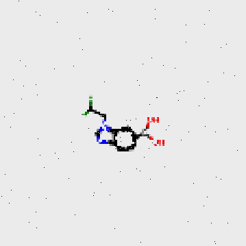 OB(O)c1ccc2ncn(CC(F)F)c2c1